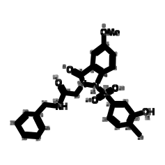 COc1ccc2c(c1)c(=O)n(CC(=O)NCc1ccccc1)n2S(=O)(=O)c1ccc(C)c(O)c1